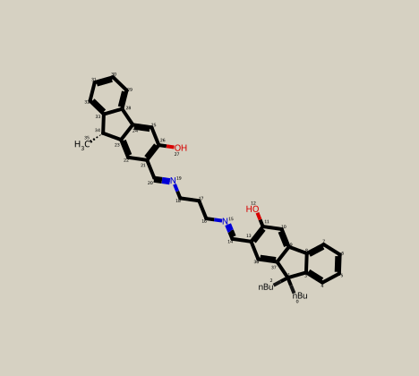 CCCCC1(CCCC)c2ccccc2-c2cc(O)c(/C=N/CCC/N=C/c3cc4c(cc3O)-c3ccccc3[C@H]4C)cc21